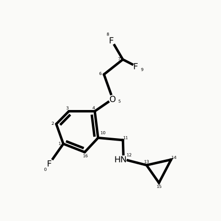 Fc1ccc(OCC(F)F)c(CNC2CC2)c1